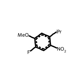 COc1cc(C(C)C)c([N+](=O)[O-])cc1F